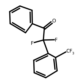 O=C(c1ccccc1)C(F)(F)c1ccccc1C(F)(F)F